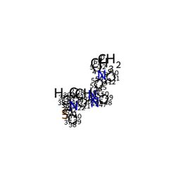 C=C/C=C(\C=C/C)n1c2ccccc2c2cc(-c3nc(-c4ccc5c(c4)C(C)(C)c4cccc6c7sc8ccccc8c7n-5c46)nc4ccccc34)ccc21